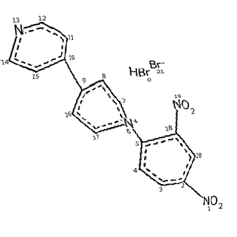 Br.O=[N+]([O-])c1ccc(-[n+]2ccc(-c3ccncc3)cc2)c([N+](=O)[O-])c1.[Br-]